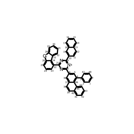 c1ccc(-c2cc(-c3nc(-c4ccc5ccccc5c4)nc(-c4cccc5oc6ccccc6c45)n3)cc3ccc4ccccc4c23)cc1